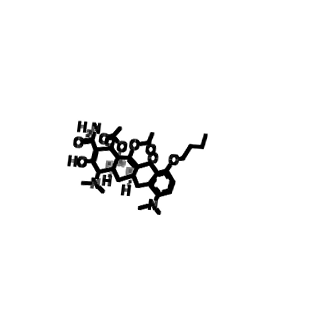 CCCCOc1ccc(N(C)C)c2c1C(=O)C1=C(OC(C)=O)[C@]3(OC(C)=O)C(=O)C(C(N)=O)=C(O)C(N(C)C)[C@@H]3C[C@@H]1C2